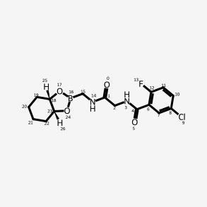 O=C(CNC(=O)c1cc(Cl)ccc1F)NCB1O[C@H]2CCCC[C@H]2O1